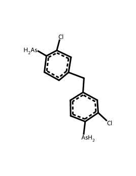 Clc1cc(Cc2ccc([AsH2])c(Cl)c2)ccc1[AsH2]